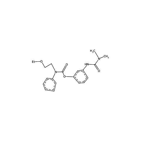 CCOCCN(C(=O)Oc1cccc(NC(=O)N(C)C)c1)c1ccccc1